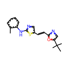 Cc1ccccc1Nc1ncc(/C=C/c2ncc(C(C)(C)C)o2)s1